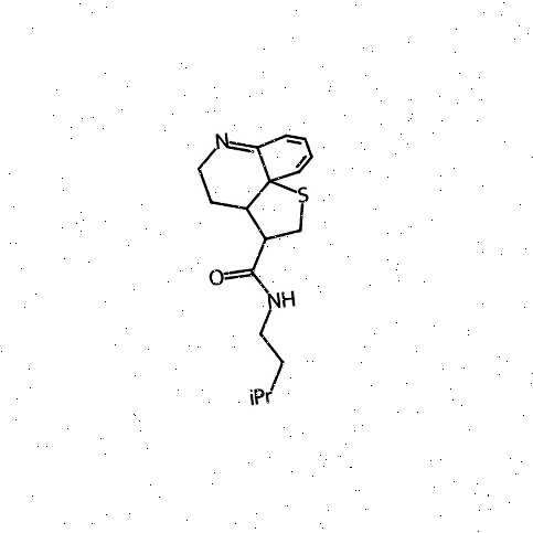 CC(C)CCNC(=O)C1CSC23C=CC=CC2=NCCC13